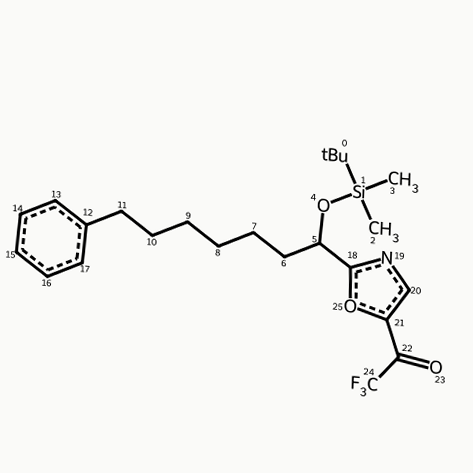 CC(C)(C)[Si](C)(C)OC(CCCCCCc1ccccc1)c1ncc(C(=O)C(F)(F)F)o1